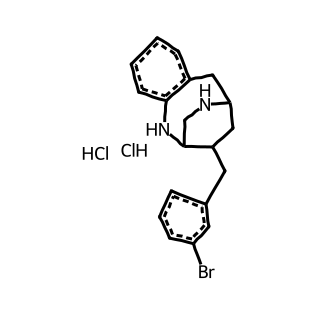 Brc1cccc(CC2CC3Cc4ccccc4NC2CN3)c1.Cl.Cl